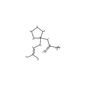 CCCC(=O)CC1(CC=C(C)C)CCCC1